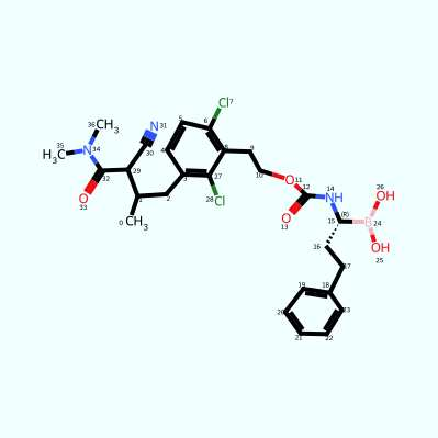 CC(Cc1ccc(Cl)c(CCOC(=O)N[C@@H](CCc2ccccc2)B(O)O)c1Cl)C(C#N)C(=O)N(C)C